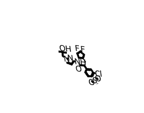 CC(C)(O)Cn1ccc(NC(=O)[C@H](C[C@H]2CCC(F)(F)C2)c2ccc(S(C)(=O)=O)c(Cl)c2)n1